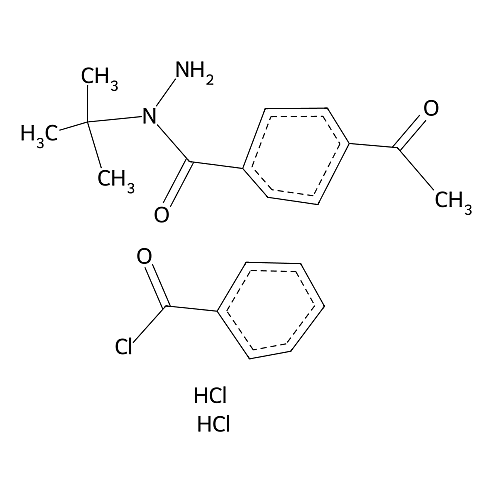 CC(=O)c1ccc(C(=O)N(N)C(C)(C)C)cc1.Cl.Cl.O=C(Cl)c1ccccc1